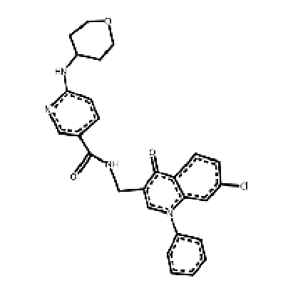 O=C(NCc1cn(-c2ccccc2)c2cc(Cl)ccc2c1=O)c1ccc(NC2CCOCC2)nc1